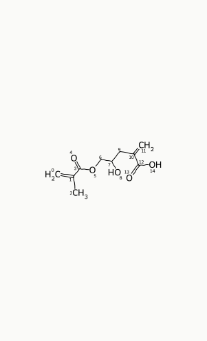 C=C(C)C(=O)OCC(O)CC(=C)C(=O)O